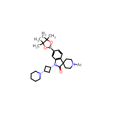 CC(=O)N1CCC2(CC1)C(=O)N([C@H]1C[C@@H](N3CCCCC3)C1)c1cc(B3OC(C)(C)C(C)(C)O3)ccc12